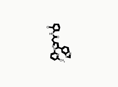 Cc1cccc(-n2nc(CC(=O)Nc3ccccc3Cl)cc2-c2ccc3ncsc3c2)n1